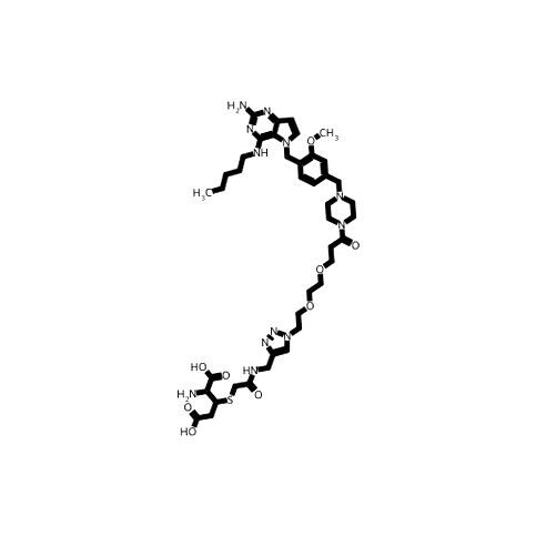 CCCCCNc1nc(N)nc2ccn(Cc3ccc(CN4CCN(C(=O)CCOCCOCCn5cc(CNC(=O)CSC(CC(=O)O)C(N)C(=O)O)nn5)CC4)cc3OC)c12